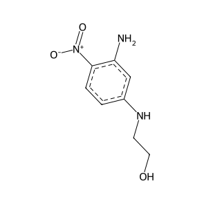 Nc1cc(NCCO)ccc1[N+](=O)[O-]